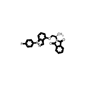 C[C@@H](COc1cccc2c1cnn2-c1ccc(F)cc1)N1C(=O)c2ccccc2C1=O